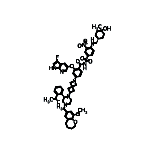 COc1cc(CN2CCN(C3CC4(C3)CN(c3ccc(C(=O)NS(=O)(=O)c5ccc(NC[C@H]6CC[C@](C)(O)CC6)c([N+](=O)[O-])c5)c(Oc5cnc6[nH]cc(F)c6c5)c3)C4)[C@H](c3ccccc3C(C)C)C2)cc2c1OCCCC2